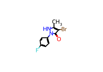 Cc1[nH]n(-c2ccc(F)cc2)c(=O)c1Br